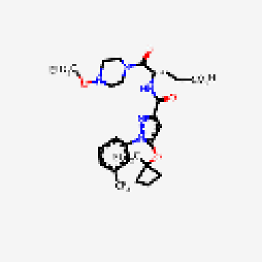 CCOC(=O)ON1CCN(C(=O)[C@H](CCC(=O)O)NC(=O)c2cc(OC3(C(=O)OCC)CCC3)n(-c3cccc(C(F)(F)F)c3)n2)CC1